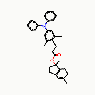 CC1=CC2=C(CC1)C(C)(OC(=O)CCc1c(C)cc(N(c3ccccc3)c3ccccc3)cc1C)CC2